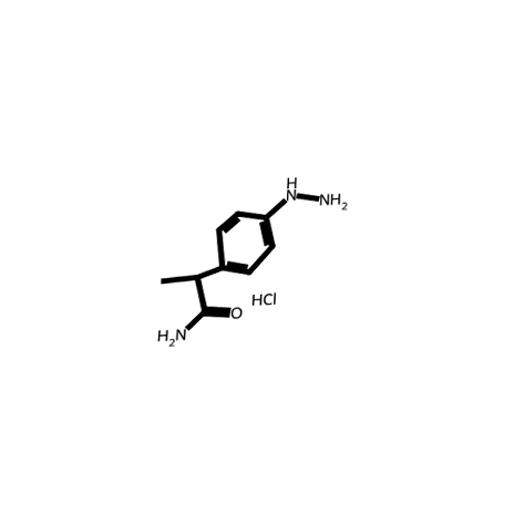 CC(C(N)=O)c1ccc(NN)cc1.Cl